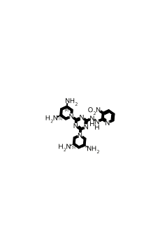 N[C@@H]1C[C@H](N)CN(c2nc(NNc3ncccc3[N+](=O)[O-])nc(N3C[C@H](N)C[C@H](N)C3)n2)C1